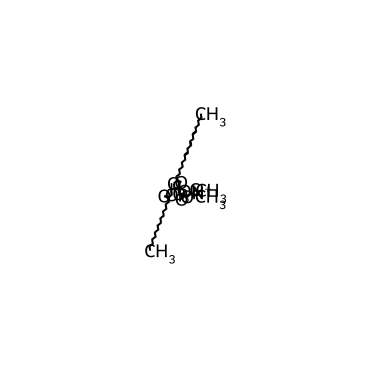 CCCCC/C=C/C/C=C/C/C=C/CCCCCCC(=O)O[C@H](COC(=O)CCCCCCCCCCCCCCC)COP(=O)(O)OCC[N+](C)(C)C